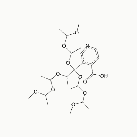 COC(C)OC(C)OC(C)C(OC(C)OC(C)OC)(OC(C)OC(C)OC)c1cnccc1C(=O)O